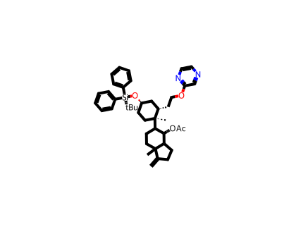 C=C1CCC2C(OC(C)=O)C([C@@]3(C)CC[C@H](O[Si](c4ccccc4)(c4ccccc4)C(C)(C)C)C[C@@H]3CCOc3cnccn3)CCC12C